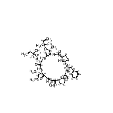 C=CC(C)(C)OC[C@@H]1NC(=O)[C@H]([C@@H](C)OC(C)(C)C=C)NC(=O)[C@@H]2CS[C@H](N2)[C@@H](Cc2ccccc2)NC(=O)[C@@H]2CCCN2C(=O)[C@H](C)NC(=O)[C@H]([C@@H](C)CC)NC1=O